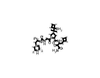 BC1(C(C)(C)[C@H]2C[C@@H](C(=O)NC(CC3CCC3)C(=O)C(N)=O)N(C(=O)CNC(=O)N[C@H](CN3C[C@@H](C)N[C@@H](C)C3)C(C)C)C2)CCC1